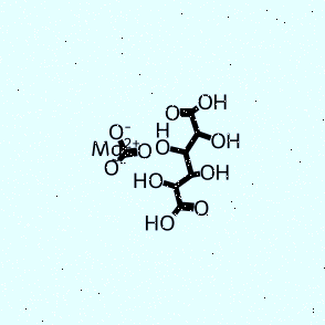 O=C(O)C(O)C(O)C(O)C(O)C(=O)O.O=C([O-])[O-].[Mg+2]